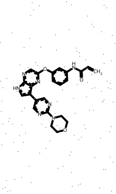 C=CC(=O)Nc1cccc(Oc2cnc3[nH]cc(-c4cnc(N5CCOCC5)nc4)c3n2)c1